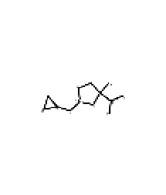 CC(C)C1(C)CCN(CC2CC2)C1